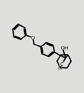 OC1(c2ccc(COc3ccccc3)cc2)CN2CCC1CC2